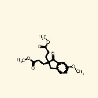 COC(=O)CCC1(CCC(=O)OC)Cc2ccc(OC)cc2C1=O